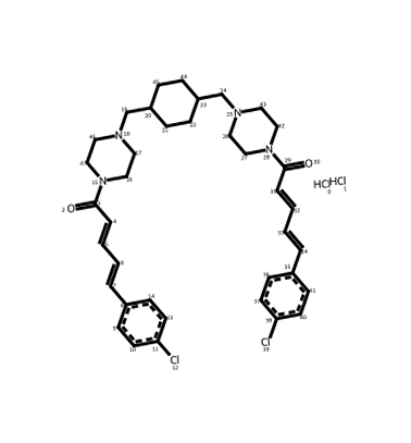 Cl.Cl.O=C(/C=C/C=C/c1ccc(Cl)cc1)N1CCN(CC2CCC(CN3CCN(C(=O)/C=C/C=C/c4ccc(Cl)cc4)CC3)CC2)CC1